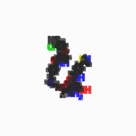 Cc1ncsc1-c1ccc([C@H](C)NC(=O)[C@@H]2C[C@@H](O)CN2C(=O)[C@@H](N)[C@@H](C)OCCCN(C)CCc2ccc(C(=O)N[C@H]3C(C)(C)[C@H](Oc4ccc(C#N)c(Cl)c4)C3(C)C)cc2)cc1